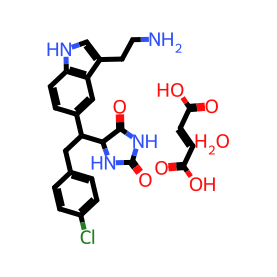 NCCc1c[nH]c2ccc(C(Cc3ccc(Cl)cc3)C3NC(=O)NC3=O)cc12.O.O=C(O)C=CC(=O)O